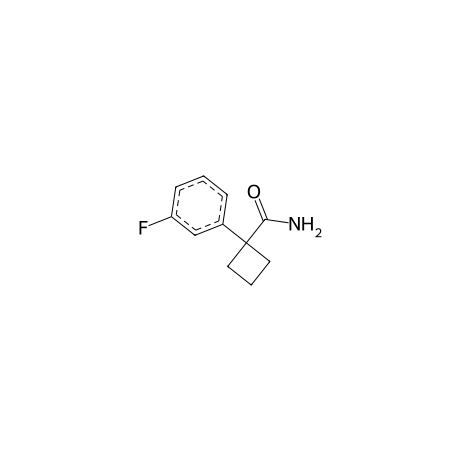 NC(=O)C1(c2cccc(F)c2)CCC1